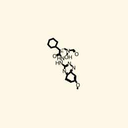 COc1ccc2nc(NNC(=O)[C@@H](CN(O)C=O)C3CCCCC3)nnc2c1